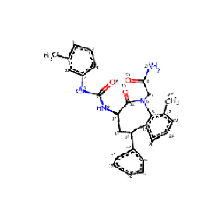 Cc1cccc(NC(=O)NC2CC(c3ccccc3)c3cccc(C)c3N(CC(N)=O)C2=O)c1